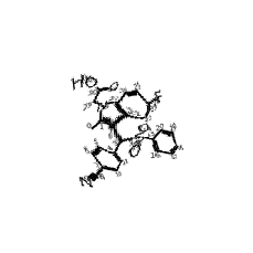 Cc1c(C(c2ccc(C#N)cc2)S(=O)(=O)c2ccccc2)c2cc(F)ccc2n1CC(=O)O